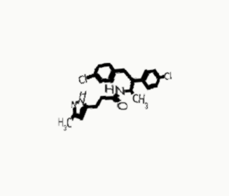 Cc1cc(CCC(=O)NC(C)C(Cc2ccc(Cl)cc2)c2ccc(Cl)cc2)[nH]n1